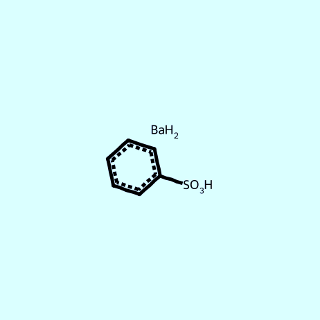 O=S(=O)(O)c1ccccc1.[BaH2]